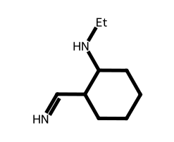 CCNC1CCCCC1C=N